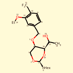 CCCCCC[C@H]1OC[C@@H](OCc2ccc(C(F)(F)F)c(OCC)c2)[C@@H](C(C)O)O1